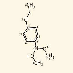 CCOc1ccc(N(OC)OC)cc1